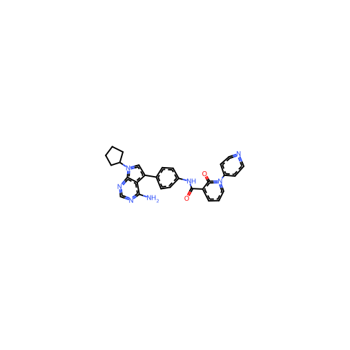 Nc1ncnc2c1c(-c1ccc(NC(=O)c3cccn(-c4ccncc4)c3=O)cc1)cn2C1CCCC1